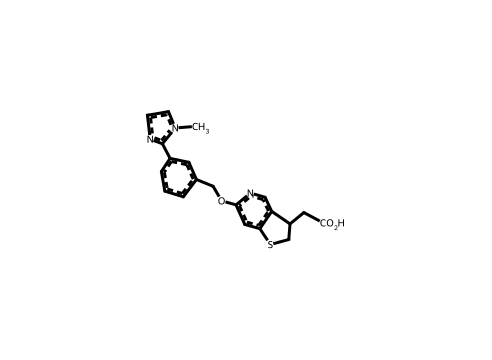 Cn1ccnc1-c1cccc(COc2cc3c(cn2)C(CC(=O)O)CS3)c1